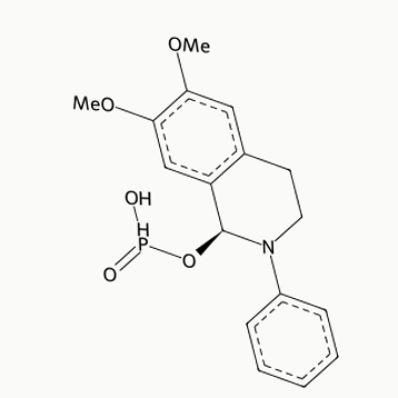 COc1cc2c(cc1OC)[C@H](O[PH](=O)O)N(c1ccccc1)CC2